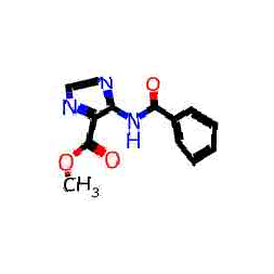 COC(=O)c1nccnc1NC(=O)c1ccccc1